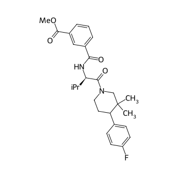 COC(=O)c1cccc(C(=O)N[C@@H](C(=O)N2CCC(c3ccc(F)cc3)C(C)(C)C2)C(C)C)c1